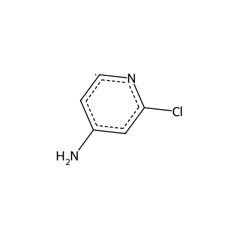 Nc1c[c]nc(Cl)c1